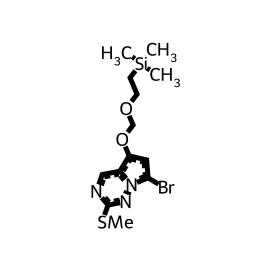 CSc1ncc2c(OCOCC[Si](C)(C)C)cc(Br)n2n1